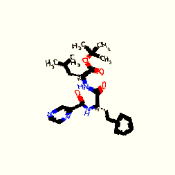 CC(C)C[C@H](NC(=O)[C@H](CCc1ccccc1)NC(=O)c1cnccn1)C(=O)OC(C)(C)C